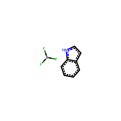 FB(F)F.c1ccc2[nH]ccc2c1